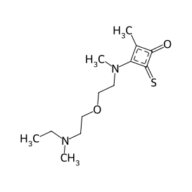 CCN(C)CCOCCN(C)c1c(C)c(=O)c1=S